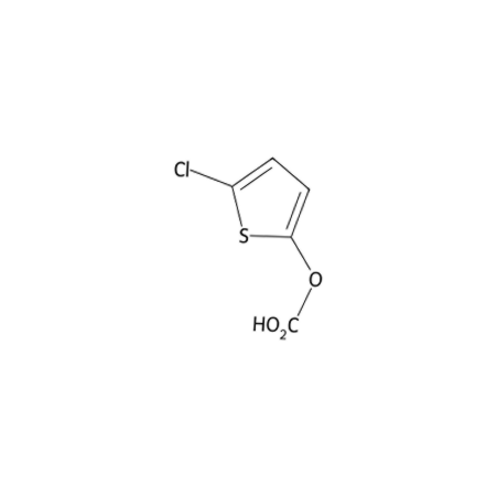 O=C(O)Oc1ccc(Cl)s1